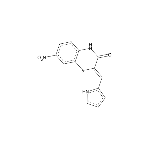 O=C1Nc2ccc([N+](=O)[O-])cc2S/C1=C\c1ccc[nH]1